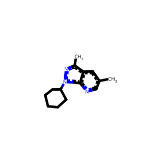 Cc1cnc2c(c1)c(C)nn2C1CCCCC1